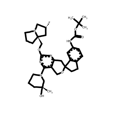 CC(C)(C)OC(=O)Nc1ccc2c(c1)C1(CC2)Cc2nc(OC[C@@]34CCCN3C[C@H](F)C4)nc(N3CCC[C@@](C)(O)C3)c2CO1